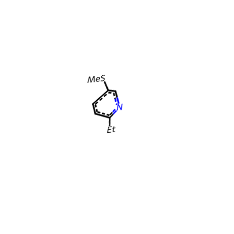 CCc1ccc(SC)cn1